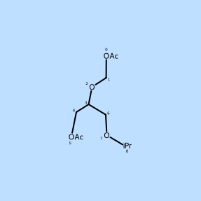 CC(=O)OCOC(COC(C)=O)COC(C)C